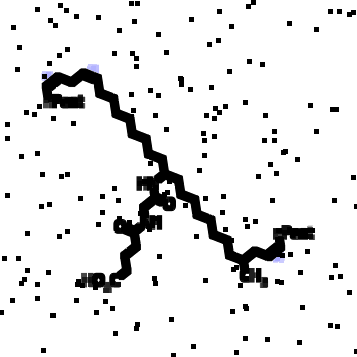 CCCCC/C=C\C/C=C\CCCCCCCCC(CCCCCCCCC(C)C/C=C\CCCCC)NC(=O)CNC(=O)CCCC(=O)O